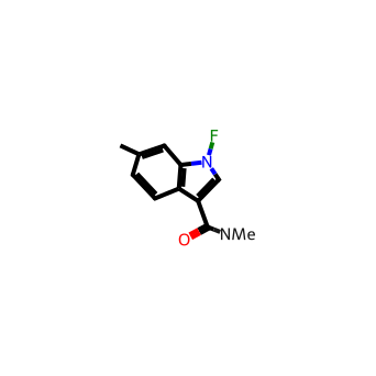 CNC(=O)c1cn(F)c2cc(C)ccc12